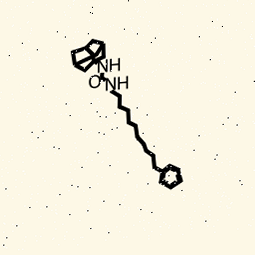 O=C(NCCCCCCCCCCCc1ccccc1)NC12CC3CC(CC(C3)C1)C2